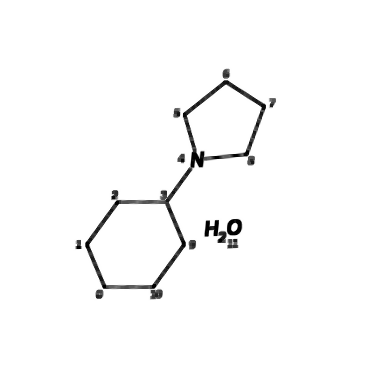 C1CCC(N2CCCC2)CC1.O